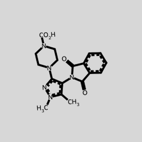 Cc1c(N2C(=O)c3ccccc3C2=O)c(N2CCN(C(=O)O)CC2)nn1C